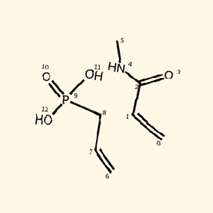 C=CC(=O)NC.C=CCP(=O)(O)O